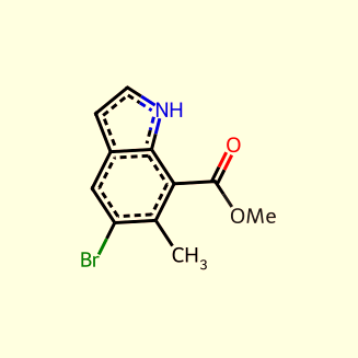 COC(=O)c1c(C)c(Br)cc2cc[nH]c12